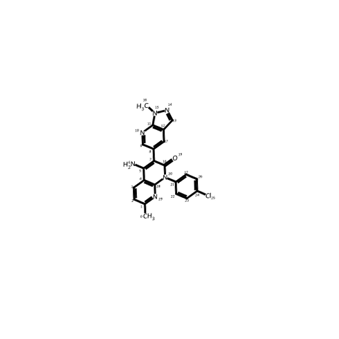 Cc1ccc2c(N)c(-c3cnc4c(cnn4C)c3)c(=O)n(-c3ccc(Cl)cc3)c2n1